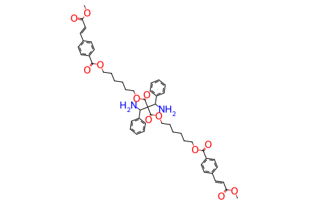 COC(=O)C=Cc1ccc(C(=O)OCCCCCCOC(=O)C(C(=O)OCCCCCCOC(=O)c2ccc(C=CC(=O)OC)cc2)(C(N)c2ccccc2)C(N)c2ccccc2)cc1